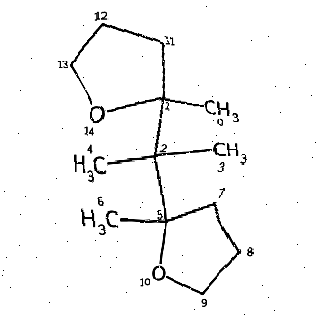 CC1(C(C)(C)C2(C)CCCO2)CCCO1